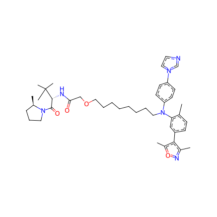 Cc1ccc(-c2c(C)noc2C)cc1N(CCCCCCCCOCC(=O)N[C@H](C(=O)N1CCC[C@H]1C)C(C)(C)C)c1ccc(-n2ccnc2)cc1